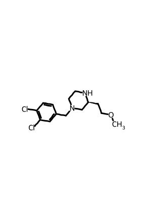 COCC[C@H]1CN(Cc2ccc(Cl)c(Cl)c2)CCN1